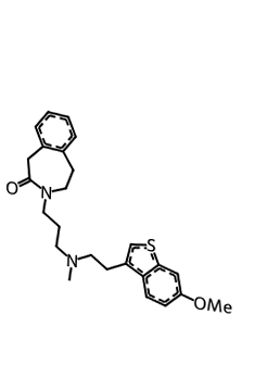 COc1ccc2c(CCN(C)CCCN3CCc4ccccc4CC3=O)csc2c1